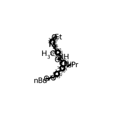 CCCCOCCOc1ccc(-c2ccc3c(c2)C=C(C(=O)Nc2ccc(SCc4cc(OCC)ccn4)c(C)c2)CCN3CC(C)C)cc1